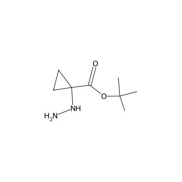 CC(C)(C)OC(=O)C1(NN)CC1